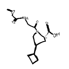 COC(=O)NCC(=O)N1CC(C2CCC2)C[C@H]1C(=O)O